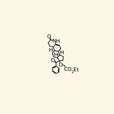 CCOC(=O)COC1(C(=O)c2ccccc2)CC[C@H]2[C@@H]3CC=C4NC(=O)CC[C@]4(C)[C@@H]3CC[C@@]21C